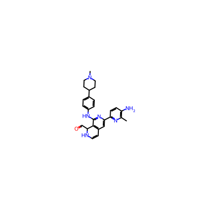 Cc1nc(-c2cc3c(c(Nc4ccc(C5CCN(C)CC5)cc4)n2)C(C=O)NC=C3)ccc1N